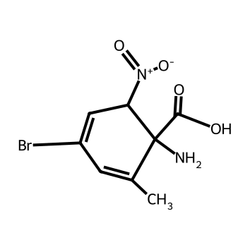 CC1=CC(Br)=CC([N+](=O)[O-])C1(N)C(=O)O